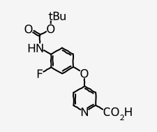 CC(C)(C)OC(=O)Nc1ccc(Oc2ccnc(C(=O)O)c2)cc1F